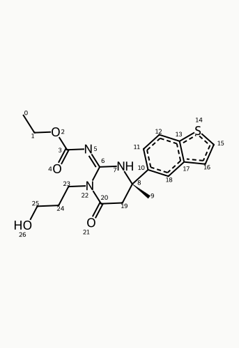 CCOC(=O)/N=C1/N[C@](C)(c2ccc3sccc3c2)CC(=O)N1CCCO